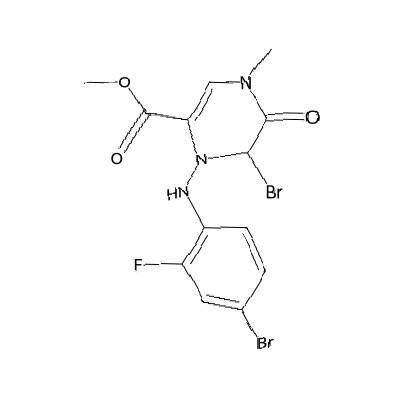 COC(=O)C1=CN(C)C(=O)C(Br)N1Nc1ccc(Br)cc1F